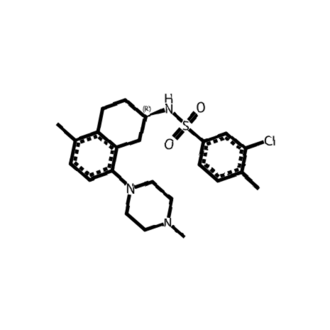 Cc1ccc(S(=O)(=O)N[C@@H]2CCc3c(C)ccc(N4CCN(C)CC4)c3C2)cc1Cl